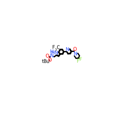 CC(C)(C)OC(=O)NCc1cc2cc(-c3ccc(C(=O)N4CCC(F)(F)CC4)cn3)cc(C(F)(F)F)c2[nH]1